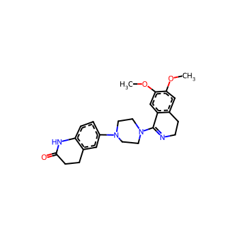 COc1cc2c(cc1OC)C(N1CCN(c3ccc4c(c3)CCC(=O)N4)CC1)=NCC2